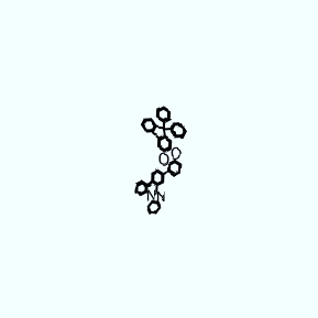 c1ccc(C2(c3ccccc3)c3ccccc3-c3cc4c(cc32)Oc2cccc(-c3ccc5c6ccccc6n6c7ccccc7nc6c5c3)c2O4)cc1